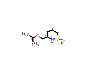 CC(C)OCC1CCC[S+]([O-])N1